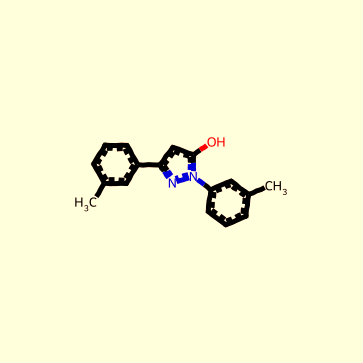 Cc1cccc(-c2cc(O)n(-c3cccc(C)c3)n2)c1